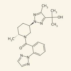 Cc1nn([C@@H]2CC[C@@H](C)N(C(=O)c3ccccc3-n3nccn3)C2)nc1C(C)(C)O